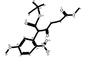 COC(=O)CCC(=O)C(C(=O)OC(C)(C)C)c1cc(OC)ccc1[N+](=O)[O-]